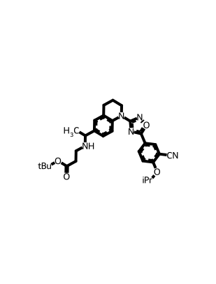 CC(C)Oc1ccc(-c2nc(N3CCCc4cc(C(C)NCCC(=O)OC(C)(C)C)ccc43)no2)cc1C#N